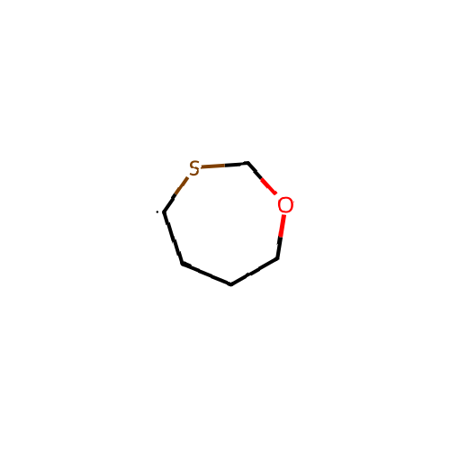 [CH]1CCCOCS1